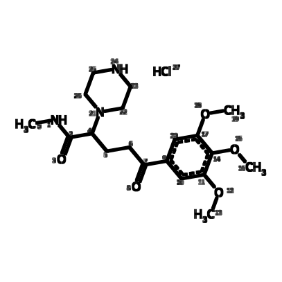 CNC(=O)C(CCC(=O)c1cc(OC)c(OC)c(OC)c1)N1CCNCC1.Cl